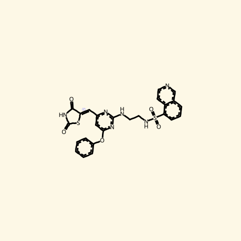 O=C1NC(=O)/C(=C/c2cc(Oc3ccccc3)nc(NCCNS(=O)(=O)c3cccc4cnccc34)n2)S1